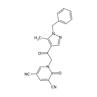 Cc1c(C(=O)Cn2cc(C#N)cc(C#N)c2=O)cnn1Cc1ccccc1